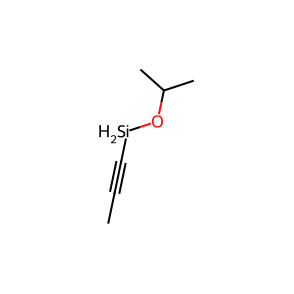 CC#C[SiH2]OC(C)C